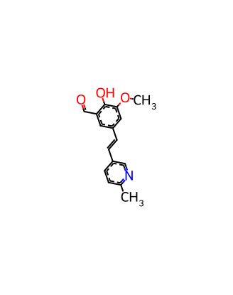 COc1cc(/C=C/c2ccc(C)nc2)cc(C=O)c1O